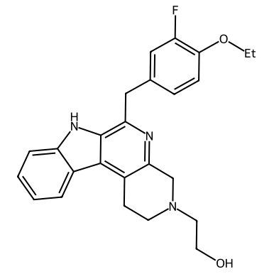 CCOc1ccc(Cc2nc3c(c4c2[nH]c2ccccc24)CCN(CCO)C3)cc1F